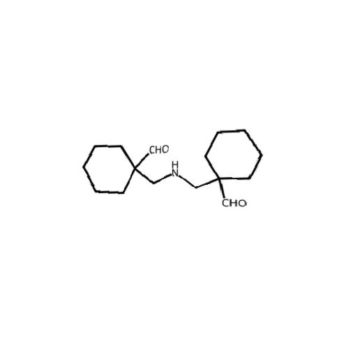 O=CC1(CNCC2(C=O)CCCCC2)CCCCC1